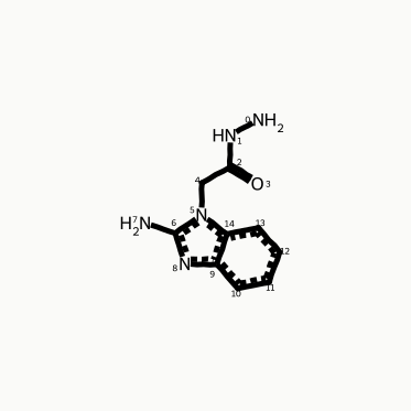 NNC(=O)Cn1c(N)nc2ccccc21